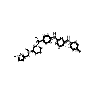 CN(Cc1cc[nH]n1)C1CCCN(C(=O)c2ccc(Nc3nccc(Nc4ccc(F)cc4)n3)cc2)C1